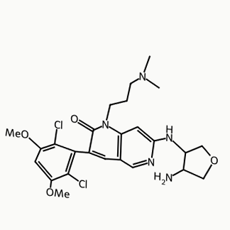 COc1cc(OC)c(Cl)c(-c2cc3cnc(NC4COCC4N)cc3n(CCCN(C)C)c2=O)c1Cl